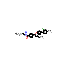 O=C(O)CCNC(=O)c1ccc(C(CCCC(F)(F)F)Oc2ccc(-c3ccc(C(F)(F)F)cc3F)cc2)cc1